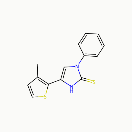 Cc1ccsc1-c1cn(-c2ccccc2)c(=S)[nH]1